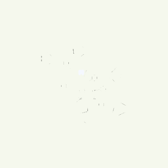 CCC[C@H]1O[C@H](C(=O)/C=C/C(c2ccccc2)C(CCOC)OCc2ccccc2)[C@@H](OCc2ccccc2)[C@H](OCc2ccccc2)[C@H]1c1ccccc1